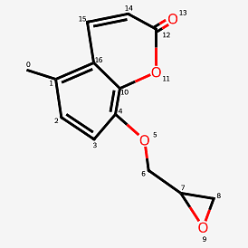 Cc1ccc(OCC2CO2)c2oc(=O)ccc12